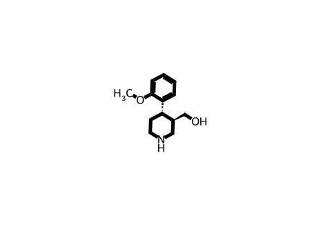 COc1ccccc1[C@H]1CCNC[C@@H]1CO